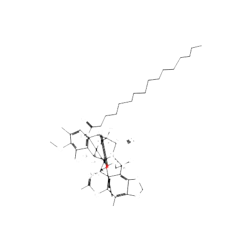 CCCCCCCCCCCCCCCC(=O)NC1CS[C@@H]2c3c(OC(C)=O)c(C)c4c(c3[C@H](COC1=O)N1[C@@H]2[C@@H]2N[C@H](Cc3cc(C)c(OC)c(O)c32)[C@@H]1C#N)OCO4